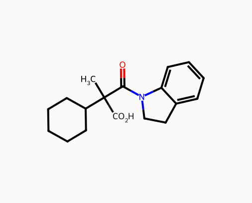 CC(C(=O)O)(C(=O)N1CCc2ccccc21)C1CCCCC1